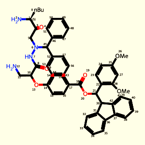 CCCC[C@H](N)C(=O)CN(NC(=O)C(CN)Oc1ccc(C(=O)OC(c2ccc(OC)cc2OC)C2c3ccccc3-c3ccccc32)cc1)C(c1ccccc1)c1ccccc1